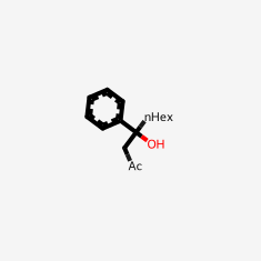 CCCCCCC(O)(CC(C)=O)c1ccccc1